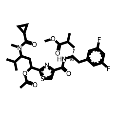 COC(=O)C(C)C[C@H](Cc1cc(F)cc(F)c1)NC(=O)c1csc(C(CC(C(C)C)N(C)C(=O)C2CC2)OC(C)=O)n1